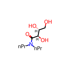 CCCN(CCC)C(=O)[C@H](O)[C@H](O)CO